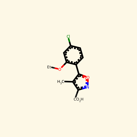 CCOc1cc(Cl)ccc1-c1onc(C(=O)O)c1C